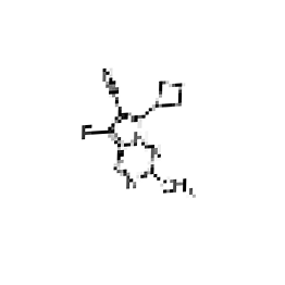 Cc1ncc2c(F)c(C#N)c(C3CCC3)n2n1